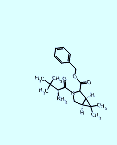 CC(C)(C)[C@H](N)C(=O)N1C[C@H]2[C@@H](C1C(=O)OCc1ccccc1)C2(C)C